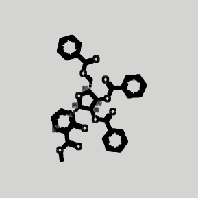 COC(=O)c1nccn([C@@H]2O[C@H](COC(=O)c3ccccc3)[C@@H](OC(=O)c3ccccc3)[C@H]2OC(=O)c2ccccc2)c1=O